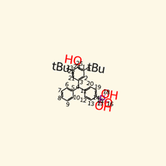 CC(C)(C)c1cc(C(c2ccccc2)c2ccc(P(=O)(O)O)cc2)cc(C(C)(C)C)c1O